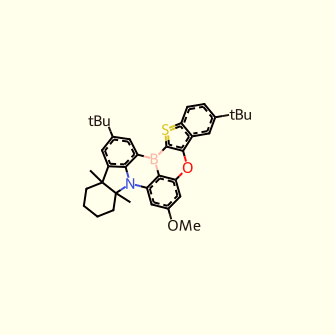 COc1cc2c3c(c1)N1c4c(cc(C(C)(C)C)cc4C4(C)CCCCC14C)B3c1sc3ccc(C(C)(C)C)cc3c1O2